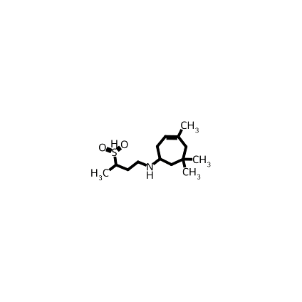 CC1=CCC(NCCC(C)[SH](=O)=O)CC(C)(C)C1